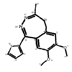 COc1cc2c(cc1OC)C(c1cccs1)=NN=C(C)C2